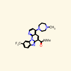 CNC(=O)c1cc2c(N3CCCN(C)CC3)ccnc2n2c1nc1ccc(C(F)(F)F)cc12